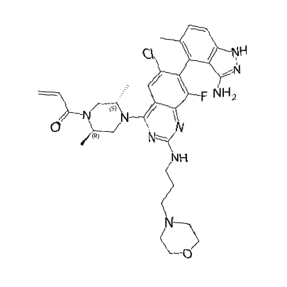 C=CC(=O)N1C[C@H](C)N(c2nc(NCCCN3CCOCC3)nc3c(F)c(-c4c(C)ccc5[nH]nc(N)c45)c(Cl)cc23)C[C@H]1C